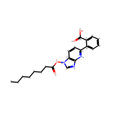 CCCCCCCC(=O)On1cnc2nc(-c3ccccc3C(=O)O)ccc21